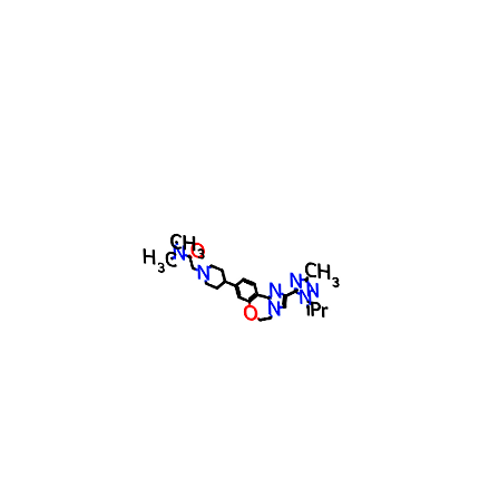 Cc1nc(-c2cn3c(n2)-c2ccc(C4CCN(CC(=O)N(C)C)CC4)cc2OCC3)n(C(C)C)n1